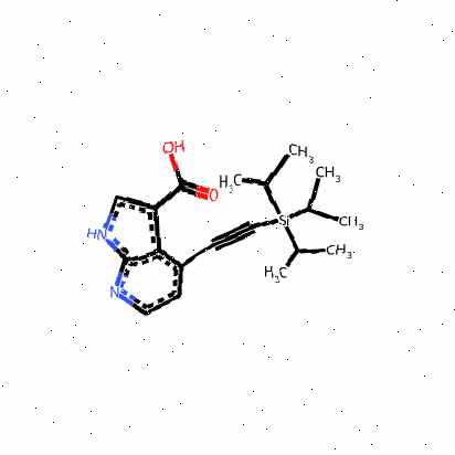 CC(C)[Si](C#Cc1ccnc2[nH]cc(C(=O)O)c12)(C(C)C)C(C)C